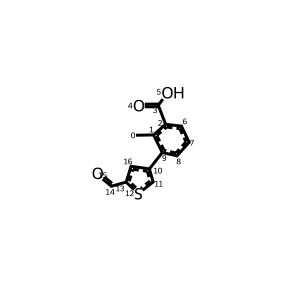 Cc1c(C(=O)O)cccc1-c1csc(C=O)c1